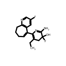 CCC1=C(C2=CCCCc3ncc(F)cc32)N=C(N)C(O)(F)C1